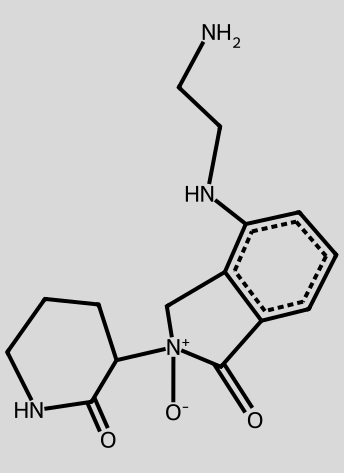 NCCNc1cccc2c1C[N+]([O-])(C1CCCNC1=O)C2=O